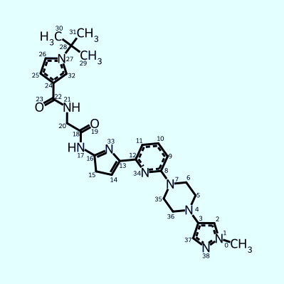 Cn1cc(N2CCN(c3cccc(C4=CCC(NC(=O)CNC(=O)c5ccn(C(C)(C)C)c5)=N4)n3)CC2)cn1